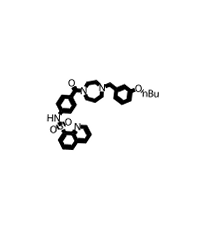 CCCCOc1cccc(CN2CCCN(C(=O)c3ccc(NS(=O)(=O)c4cccc5cccnc45)cc3)CC2)c1